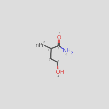 [CH2]CCC(CCO)C(N)=O